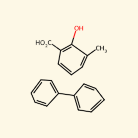 Cc1cccc(C(=O)O)c1O.c1ccc(-c2ccccc2)cc1